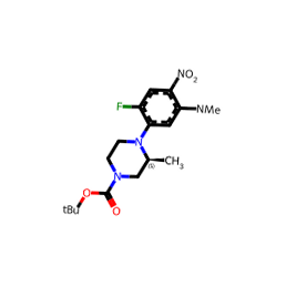 CNc1cc(N2CCN(C(=O)OC(C)(C)C)C[C@@H]2C)c(F)cc1[N+](=O)[O-]